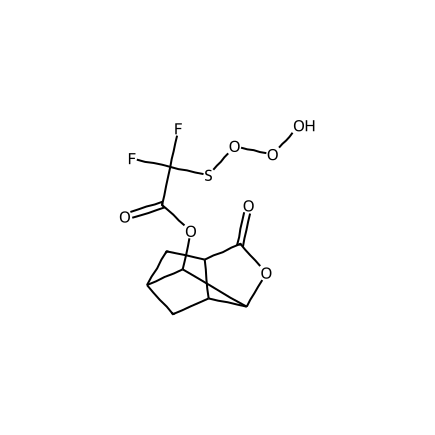 O=C1OC2C3CC(CC13)C2OC(=O)C(F)(F)SOOO